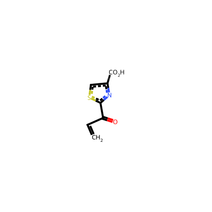 C=CC(=O)c1nc(C(=O)O)cs1